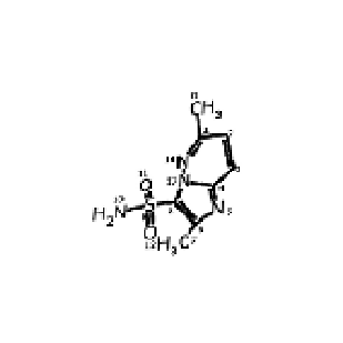 Cc1ccc2nc(C)c(S(N)(=O)=O)n2n1